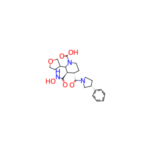 O=C(NO)[C@H]1C(C2CCOC2)N(C(=O)O)CC[C@@H]1C(=O)N1CC[C@H](c2ccccc2)C1